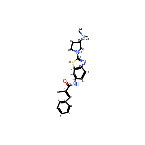 CC(=Cc1ccccc1)C(=O)Nc1ccc2nc(N3CCC(N(C)C)C3)sc2c1